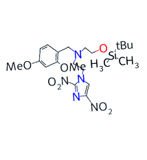 COc1ccc(CN(CCO[Si](C)(C)C(C)(C)C)CCn2cc([N+](=O)[O-])nc2[N+](=O)[O-])c(OC)c1